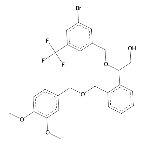 COc1ccc(COCc2ccccc2C(CO)OCc2cc(Br)cc(C(F)(F)F)c2)cc1OC